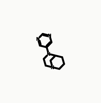 c1ncc(N2CCN3CCCC2C3)cn1